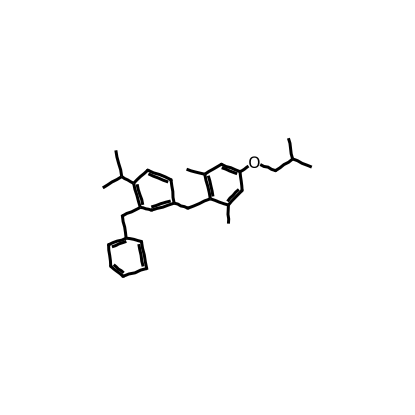 Cc1cc(OCC(C)C)cc(C)c1Cc1ccc(C(C)C)c(Cc2ccccc2)c1